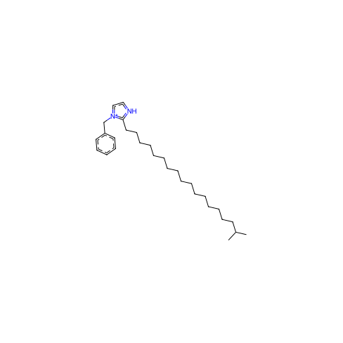 CC(C)CCCCCCCCCCCCCCCCc1[nH]cc[n+]1Cc1ccccc1